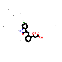 O=C(O)CC(O)c1ccccc1/C=C1\C(=O)Nc2cc(F)ccc21